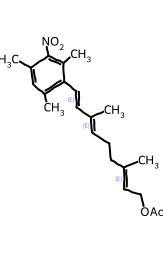 CC(=O)OC/C=C(\C)CC/C=C(C)/C=C/c1c(C)cc(C)c([N+](=O)[O-])c1C